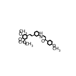 COc1ccc(C(=O)/C=C\Nc2cccc(/C=C/c3cc(OC)c(OC)c(OC)c3)c2)cc1